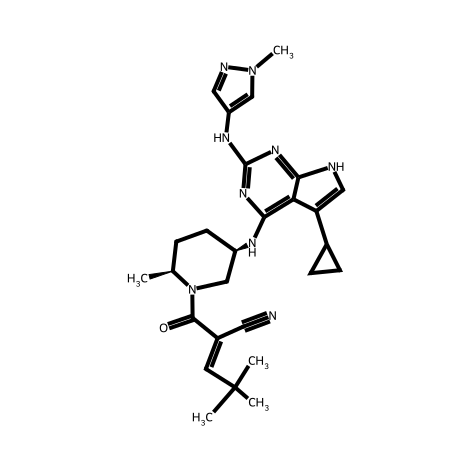 C[C@H]1CC[C@@H](Nc2nc(Nc3cnn(C)c3)nc3[nH]cc(C4CC4)c23)CN1C(=O)/C(C#N)=C/C(C)(C)C